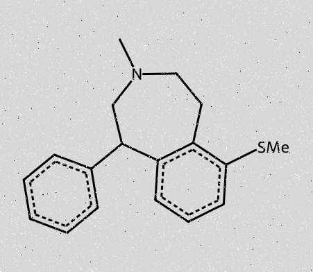 CSc1cccc2c1CCN(C)CC2c1ccccc1